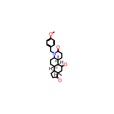 COc1ccc(CN2C(=O)CC[C@@]3(C)C2CC[C@@H]2[C@@H]3C(=O)C[C@]3(C)C(=O)CC[C@@H]23)cc1